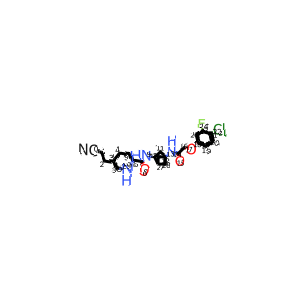 N#CCCC1CCC(C(=O)NC2CC3(NC(=O)COc4ccc(Cl)c(F)c4)CC2C3)NC1